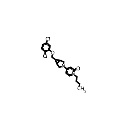 CCCCn1ccc(N2CC3C(COc4cc(Cl)ccc4Cl)C3C2)cc1=O